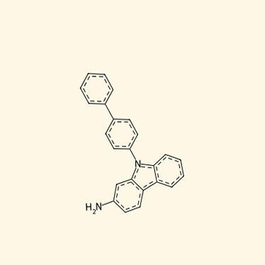 Nc1ccc2c3ccccc3n(-c3ccc(-c4ccccc4)cc3)c2c1